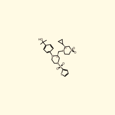 CC(C)(O)c1ccc(N2CCN(S(=O)(=O)c3cccs3)C[C@@H]2CN2CCS(=O)(=O)C[C@@H]2C2CC2)cc1